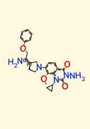 COc1c(N2CC[C@@H]([C@H](N)COc3ccccc3)C2)ccc2c(=O)n(N)c(=O)n(C3CC3)c12